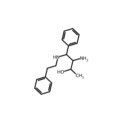 CC(O)C(N)C(NCCc1ccccc1)c1ccccc1